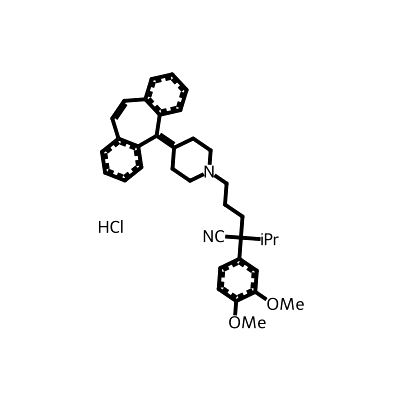 COc1ccc(C(C#N)(CCCN2CCC(=C3c4ccccc4C=Cc4ccccc43)CC2)C(C)C)cc1OC.Cl